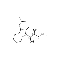 Cc1c([C@H](O)[C@@H](O)NN)c2c(n1CC(C)C)CCCC2